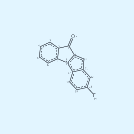 O=C1c2ccccc2-n2c1cc1cc(F)ccc12